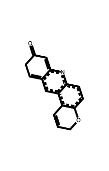 O=C1C=c2nc3ccc4c(c3cc2=CC1)C=CCO4